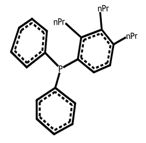 CCCc1ccc(P(c2ccccc2)c2ccccc2)c(CCC)c1CCC